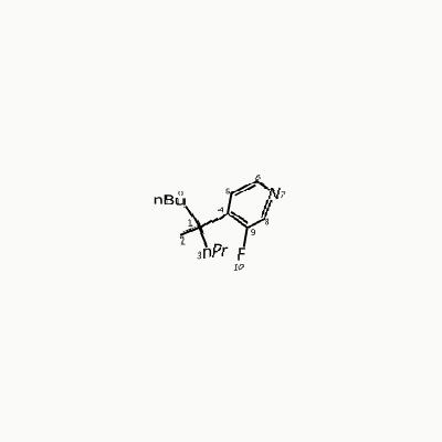 CCCCC(C)(CCC)c1ccncc1F